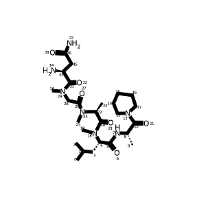 CC(C)C[C@@H](C(=O)N[C@@H](C)C(=O)N1CCCCC1)N(C)C(=O)[C@H](C)N(C)C(=O)CN(C)C(=O)[C@@H](N)CC(N)=O